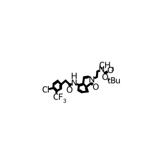 CN(CCn1ccc2c(NC(=O)Cc3ccc(Cl)c(C(F)(F)F)c3)cccc2c1=O)C(=O)OC(C)(C)C